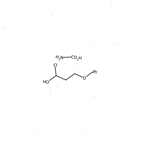 CC(C)OCCC(O)Cl.NC(=O)O